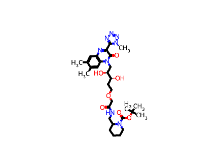 Cc1cc2nc(-c3nnnn3C)c(=O)n(C[C@H](O)[C@H](O)CCOCC(=O)NCC3CCCCN3C(=O)OC(C)(C)C)c2cc1C